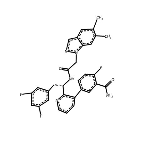 Cc1cc2cnn(CC(=O)N[C@@H](Cc3cc(F)cc(F)c3)c3ncccc3-c3ccc(F)c(C(N)=O)c3)c2cc1C